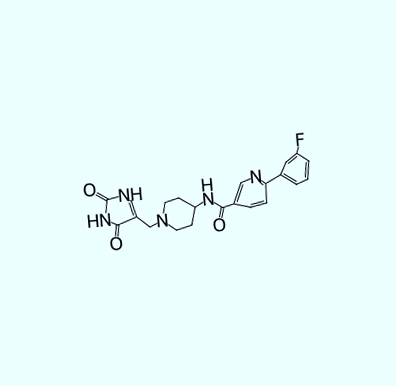 O=C(NC1CCN(Cc2c[nH]c(=O)[nH]c2=O)CC1)c1ccc(-c2cccc(F)c2)nc1